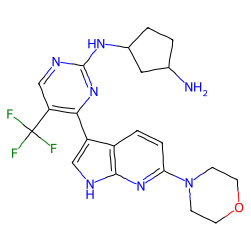 NC1CCC(Nc2ncc(C(F)(F)F)c(-c3c[nH]c4nc(N5CCOCC5)ccc34)n2)C1